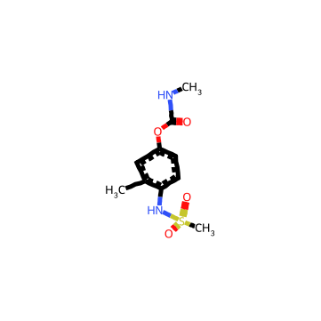 CNC(=O)Oc1ccc(NS(C)(=O)=O)c(C)c1